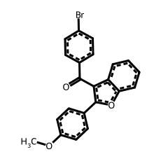 COc1ccc(-c2oc3ccccc3c2C(=O)c2ccc(Br)cc2)cc1